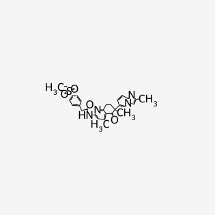 CCS(=O)(=O)c1ccc(CC(=O)Nc2cc(C)c3c(n2)CCC(C)(c2ccc4nc(C)cn4c2)C3=O)cc1